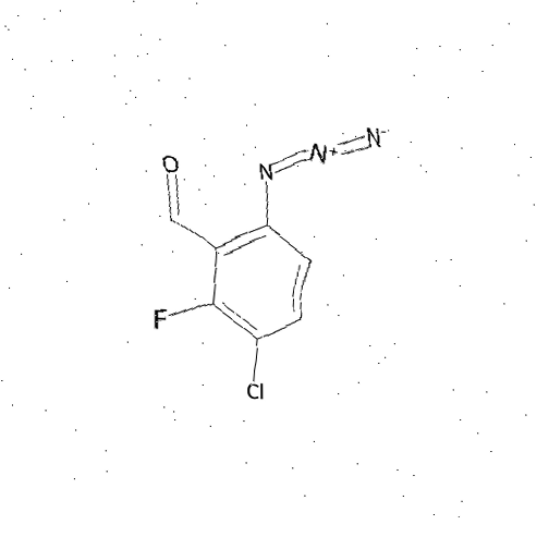 [N-]=[N+]=Nc1ccc(Cl)c(F)c1C=O